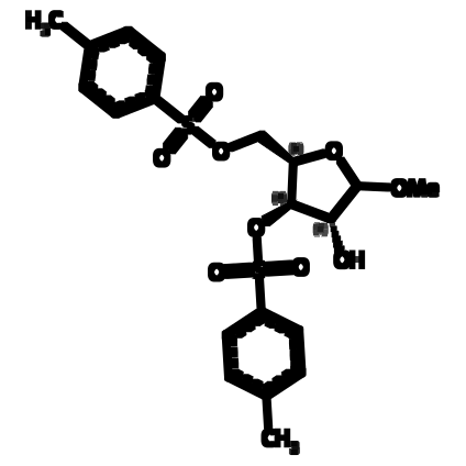 COC1O[C@H](COS(=O)(=O)c2ccc(C)cc2)[C@H](OS(=O)(=O)c2ccc(C)cc2)[C@H]1O